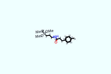 CO[Si](CCCNC(=O)CCc1ccc(C)cc1)(OC)OC